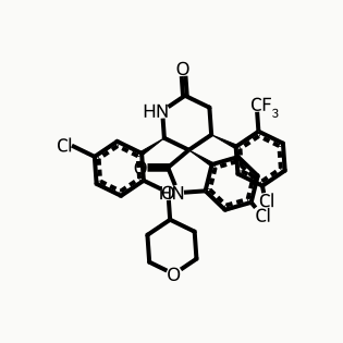 O=C1C[C@@H](c2cc(Cl)ccc2C(F)(F)F)[C@]2(C(=O)Nc3cc(Cl)ccc32)[C@@H](c2cc(Cl)ccc2OC2CCOCC2)N1